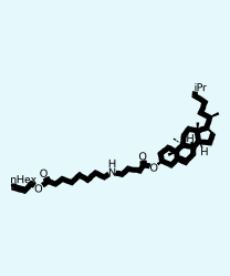 CCCCCC/C=C\COC(=O)CCCCCCCNCCCC(=O)O[C@H]1CC[C@@]2(C)C(=CC[C@H]3[C@@H]4CC[C@H]([C@H](C)CCCC(C)C)[C@@]4(C)CC[C@@]32C)C1